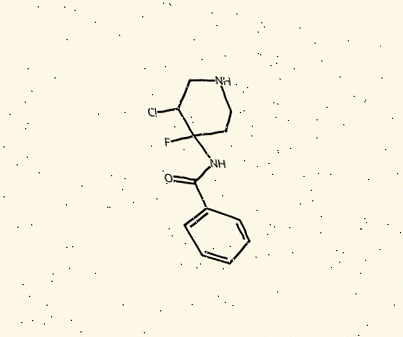 O=C(NC1(F)CCNCC1Cl)c1ccccc1